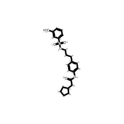 Cc1cccc(S(=O)(=O)OCCCc2ccc(OC(=O)CC3CCCC3)cc2)c1